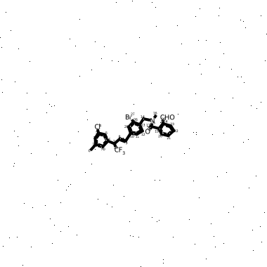 Cc1cc(Cl)cc(C(/C=C/c2ccc(CN(C)C(=O)c3ccccc3C=O)c(Br)c2)C(F)(F)F)c1